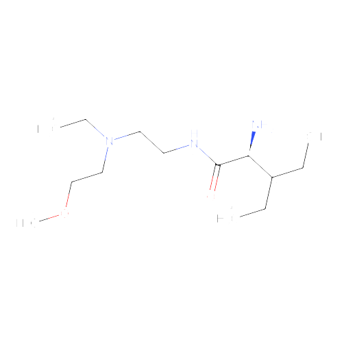 CCC(CC)[C@H](N)C(=O)NCCN(CC)CCOC